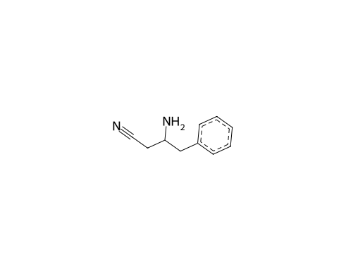 N#CCC(N)Cc1ccccc1